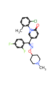 Cc1cccc(Cl)c1-n1cc(/C(=N/OC2CCN(C)CC2)c2ccc(F)cc2F)ccc1=O